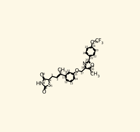 CC(=CCC1SC(=O)NC1=O)c1cccc(OCc2nc(-c3ccc(OC(F)(F)F)cc3)oc2C)c1